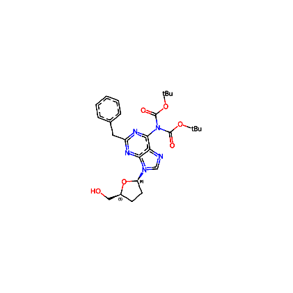 CC(C)(C)OC(=O)N(C(=O)OC(C)(C)C)c1nc(Cc2ccccc2)nc2c1ncn2[C@H]1CC[C@@H](CO)O1